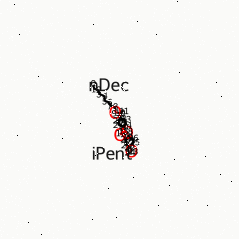 CCCCCCCCCCCCCCCCCCOC(C)c1ccc(C(=O)Oc2ccc(OC(C)CCC)cc2)cc1